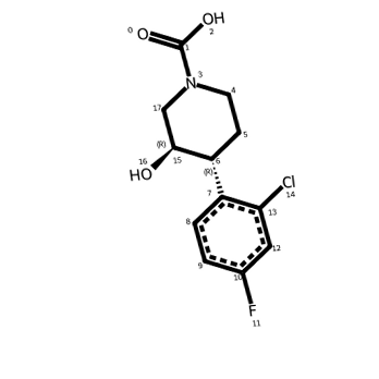 O=C(O)N1CC[C@H](c2ccc(F)cc2Cl)[C@@H](O)C1